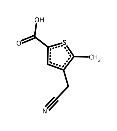 Cc1sc(C(=O)O)cc1CC#N